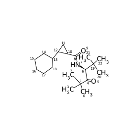 CC(C)(C)C(=O)[C@@H](NC(=O)C1CC1C1CCCCC1)C(C)(C)C